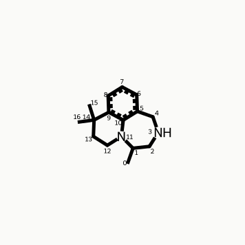 CC1CNCc2cccc3c2N1CCC3(C)C